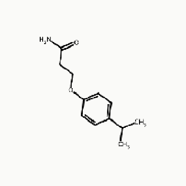 CC(C)c1ccc(OCCC(N)=O)cc1